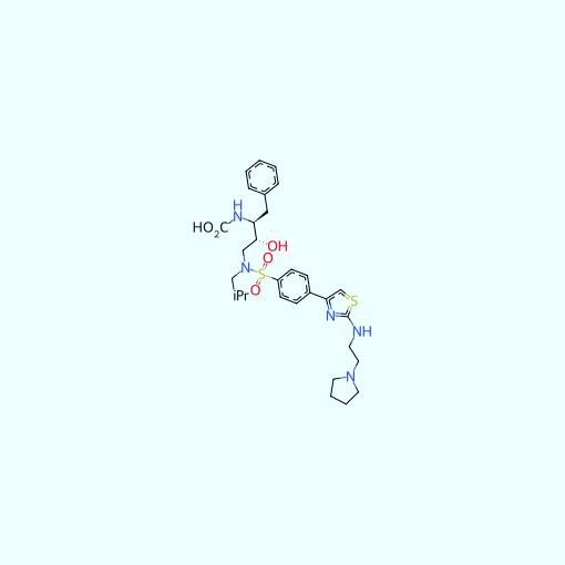 CC(C)CN(C[C@@H](O)[C@H](Cc1ccccc1)NC(=O)O)S(=O)(=O)c1ccc(-c2csc(NCCN3CCCC3)n2)cc1